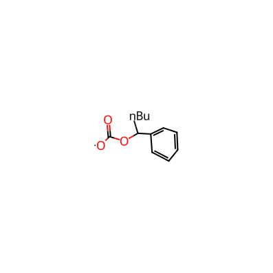 CCCCC(OC([O])=O)c1ccccc1